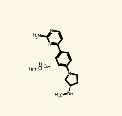 CN[C@@H]1CCN(c2ccc(-c3ccnc(N)n3)cc2)C1.Cl.Cl.Cl